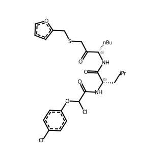 CCCC[C@H](NC(=O)[C@H](CC(C)C)NC(=O)C(Cl)Oc1ccc(Cl)cc1)C(=O)CSCc1ccco1